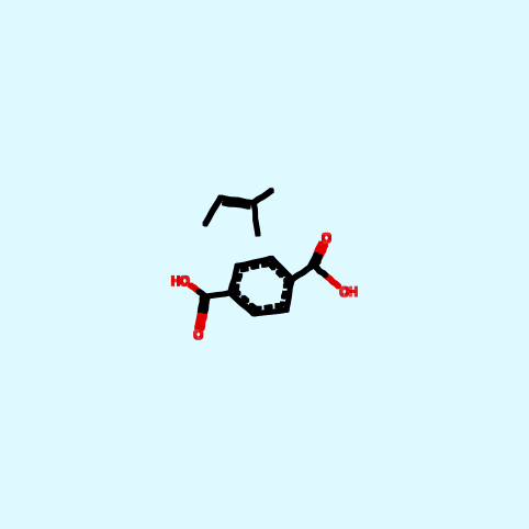 CC=C(C)C.O=C(O)c1ccc(C(=O)O)cc1